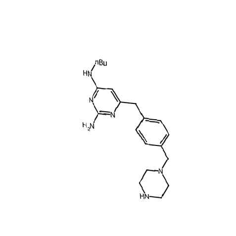 CCCCNc1cc(Cc2ccc(CN3CCNCC3)cc2)nc(N)n1